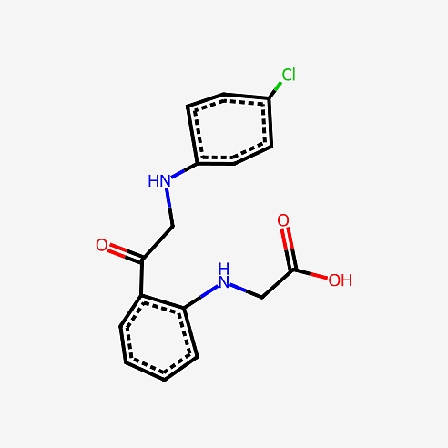 O=C(O)CNc1ccccc1C(=O)CNc1ccc(Cl)cc1